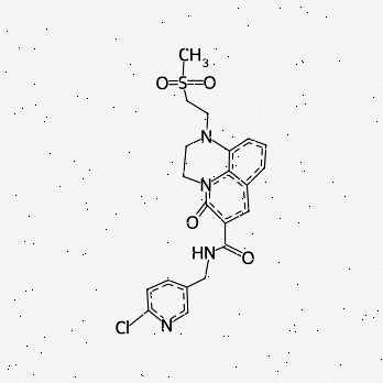 CS(=O)(=O)CCN1CCn2c(=O)c(C(=O)NCc3ccc(Cl)nc3)cc3cccc1c32